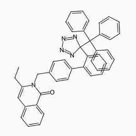 CCc1cc2ccccc2c(=O)n1Cc1ccc(-c2ccccc2C2(C(c3ccccc3)(c3ccccc3)c3ccccc3)N=NN=N2)cc1